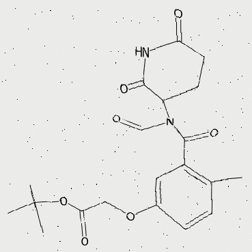 Cc1ccc(OCC(=O)OC(C)(C)C)cc1C(=O)N(C=O)C1CCC(=O)NC1=O